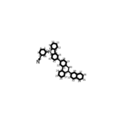 N#Cc1cccc(-n2c3ccccc3c3cc(-c4ccc5c(c4)-c4ccccc4C(c4ccc6ccccc6c4)C5)ccc32)c1